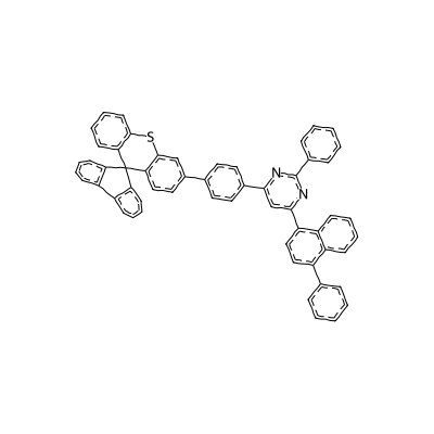 c1ccc(-c2nc(-c3ccc(-c4ccc5c(c4)Sc4ccccc4C54c5ccccc5-c5ccccc54)cc3)cc(-c3ccc(-c4ccccc4)c4ccccc34)n2)cc1